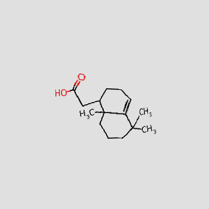 CC1(C)CCCC2(C)C1=CCCC2CC(=O)O